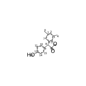 Cc1cc(C)c2c(c1)C(c1ccc(O)cc1)C(=O)O2